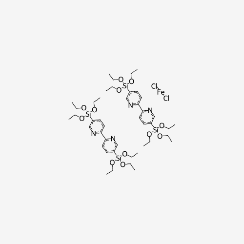 CCO[Si](OCC)(OCC)c1ccc(-c2ccc([Si](OCC)(OCC)OCC)cn2)nc1.CCO[Si](OCC)(OCC)c1ccc(-c2ccc([Si](OCC)(OCC)OCC)cn2)nc1.[Cl][Fe][Cl]